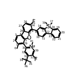 Cc1ccc2c(oc3c(-c4ccc5c(c4)[Si](C)(C)c4ccccc4-5)c(F)ccc32)c1-c1cc(C(C)(C)C)c(F)c[n+]1C